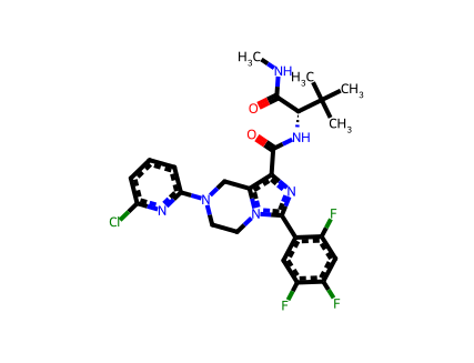 CNC(=O)[C@@H](NC(=O)c1nc(-c2cc(F)c(F)cc2F)n2c1CN(c1cccc(Cl)n1)CC2)C(C)(C)C